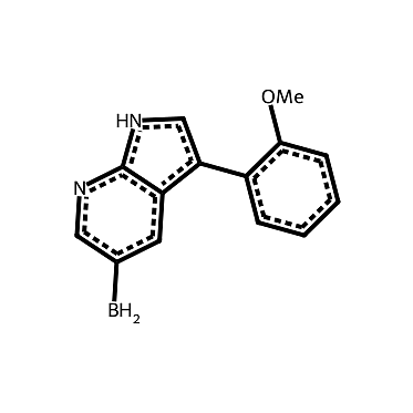 Bc1cnc2[nH]cc(-c3ccccc3OC)c2c1